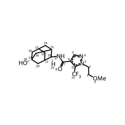 COCCn1ncc(C(=O)N[C@H]2C3CC4CC2C[C@](O)(C4)C3)c1C(F)(F)F